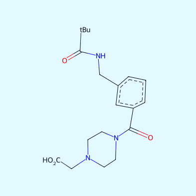 CC(C)(C)C(=O)NCc1cccc(C(=O)N2CCN(CC(=O)O)CC2)c1